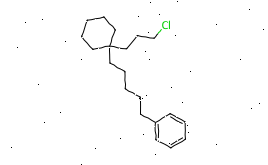 ClCCCC1(CCCCCc2ccccc2)CCCCC1